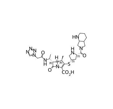 CC(NC(=O)Cn1cnnn1)[C@H]1C(=O)N2C(C(=O)O)=C(S[C@@H]3CN[C@H](C(=O)N4CC5CCCNC5C4)C3)[C@H](C)[C@H]12